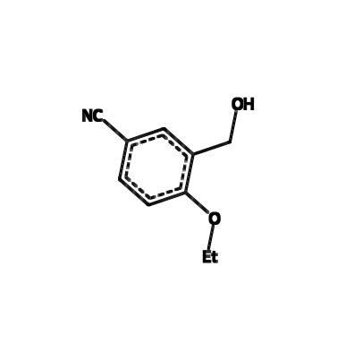 CCOc1ccc(C#N)cc1CO